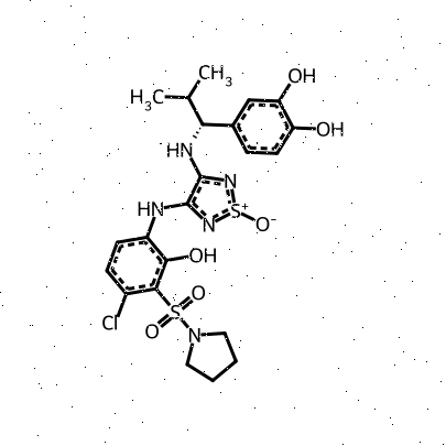 CC(C)[C@@H](Nc1n[s+]([O-])nc1Nc1ccc(Cl)c(S(=O)(=O)N2CCCC2)c1O)c1ccc(O)c(O)c1